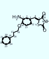 Nc1cc(/C=C2\SC(=O)NC2=O)ccc1OCCCc1ccccc1